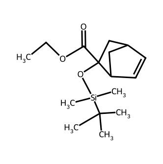 CCOC(=O)C1(O[Si](C)(C)C(C)(C)C)CC2C=CC1C2